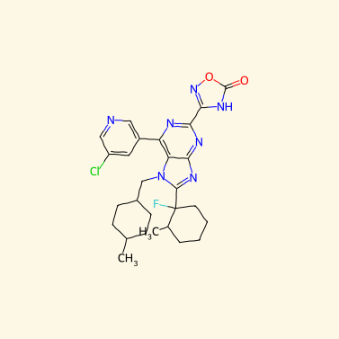 CC1CCC(Cn2c(C3(F)CCCCC3C)nc3nc(-c4noc(=O)[nH]4)nc(-c4cncc(Cl)c4)c32)CC1